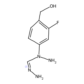 N/N=C\N(N)c1ccc(CO)c(F)c1